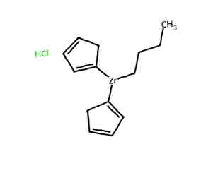 CCC[CH2][Zr]([C]1=CC=CC1)[C]1=CC=CC1.Cl